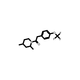 CC1CCN(C(=O)Cc2ccc(OC(F)(F)F)cc2)C(C)C1